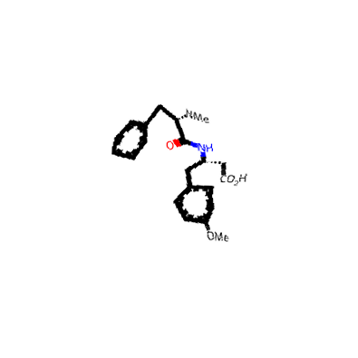 CN[C@@H](Cc1ccccc1)C(=O)N[C@H](CC(=O)O)Cc1ccc(OC)cc1